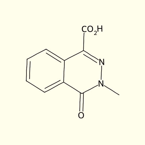 Cn1nc(C(=O)O)c2ccccc2c1=O